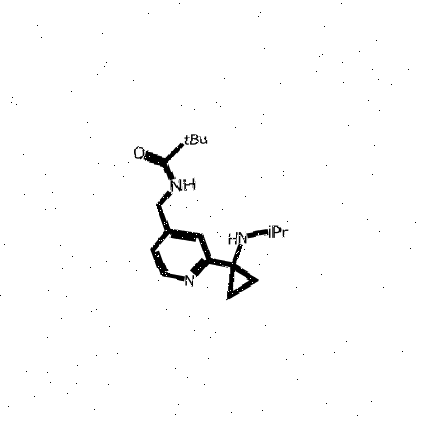 CC(C)NC1(c2cc(CNC(=O)C(C)(C)C)ccn2)CC1